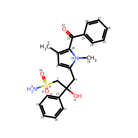 Cc1cc(CC(O)(CS(N)(=O)=O)c2ccccc2)n(C)c1C(=O)c1ccccc1